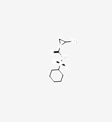 N#CC1CN1C(=O)NS(=O)(=O)C1CCCCC1